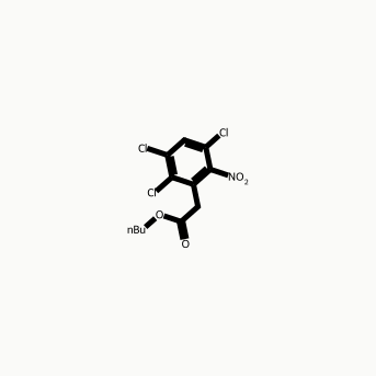 CCCCOC(=O)Cc1c(Cl)c(Cl)cc(Cl)c1[N+](=O)[O-]